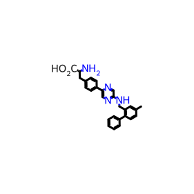 Cc1ccc(-c2ccccc2)c(CNc2cnc(-c3ccc(CC(N)C(=O)O)cc3)cn2)c1